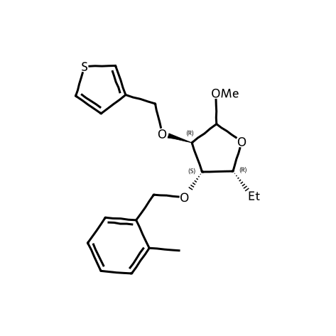 CC[C@H]1OC(OC)[C@H](OCc2ccsc2)[C@H]1OCc1ccccc1C